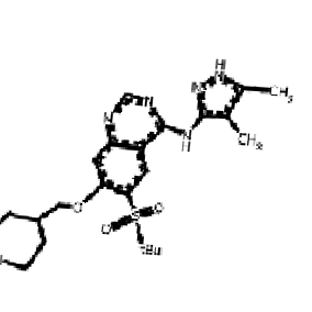 Cc1[nH]nc(Nc2ncnc3cc(OCC4CCNCC4)c(S(=O)(=O)C(C)(C)C)cc23)c1C